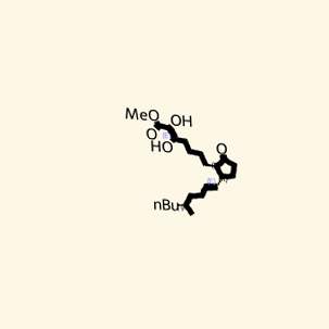 CCCC[C@@H](C)CC/C=C/[C@H]1CCC(=O)[C@@H]1CCCC/C(O)=C(\O)C(=O)OC